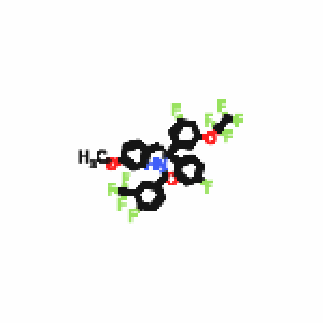 COc1ccc(C[C@](NC(=O)C2=CC(C(F)(F)F)C(F)C=C2)(C2=CC(OC(F)(F)C(F)F)CC(F)=C2)c2ccc(F)cc2)cc1